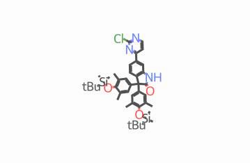 Cc1cc(C2(c3cc(C)c(O[Si](C)(C)C(C)(C)C)c(C)c3)C(=O)Nc3cc(-c4ccnc(Cl)n4)ccc32)cc(C)c1O[Si](C)(C)C(C)(C)C